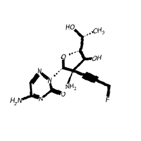 C[C@@H](O)[C@H]1O[C@@H](n2ncc(N)nc2=O)[C@@](N)(C#CCF)C1O